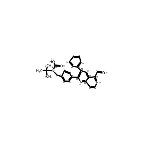 CC(C)(C)N(Cc1ccc(-c2nc3ccnc(C=O)c3cc2-c2ccccc2)cc1)C(=O)O